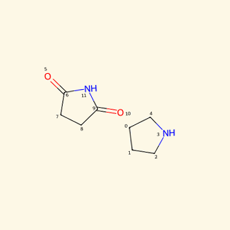 C1CCNC1.O=C1CCC(=O)N1